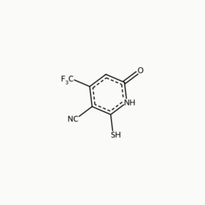 N#Cc1c(C(F)(F)F)cc(=O)[nH]c1S